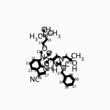 CC(C)(O)CN1C=C(S(=O)(=O)N(COCC[Si](C)(C)C)c2cccc3c(C#N)c[nH]c23)NC1OCc1ccccc1